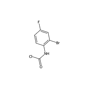 O=C(Cl)Nc1ccc(F)cc1Br